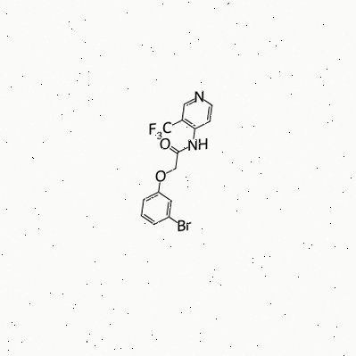 O=C(COc1cccc(Br)c1)Nc1ccncc1C(F)(F)F